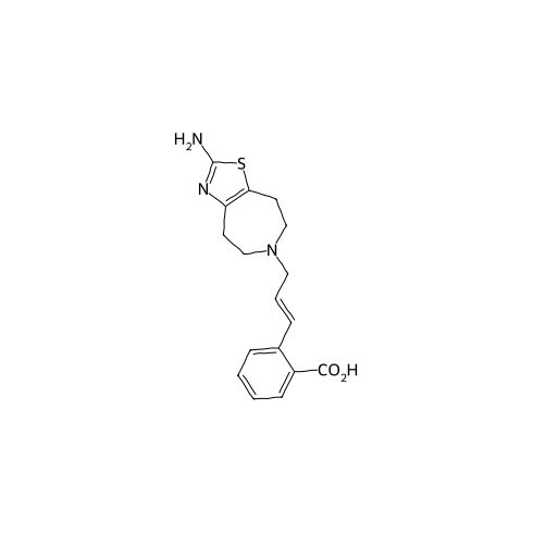 Nc1nc2c(s1)CCN(CC=Cc1ccccc1C(=O)O)CC2